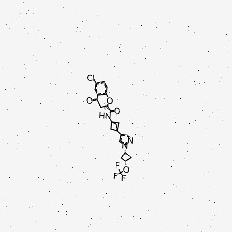 O=C1C[C@H](C(=O)NC23CC(c4cnn([C@H]5C[C@@H](OC(F)(F)F)C5)c4)(C2)C3)Oc2ccc(Cl)cc21